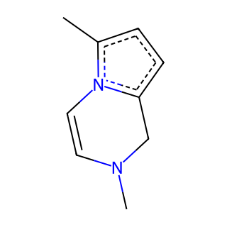 Cc1ccc2n1C=CN(C)C2